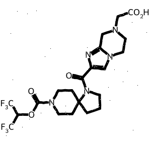 O=C(O)CN1CCn2cc(C(=O)N3CCCC34CCN(C(=O)OC(C(F)(F)F)C(F)(F)F)CC4)nc2C1